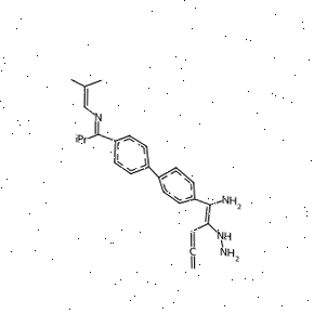 C=C=C/C(NN)=C(/N)c1ccc(-c2ccc(/C(=N/C=C(C)C)C(C)C)cc2)cc1